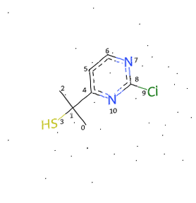 CC(C)(S)c1ccnc(Cl)n1